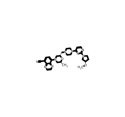 CO[C@H]1CCN(c2nccc(N3CCN(C[C@H]4CN(c5ccc(C#N)c6nccnc56)C[C@@H](C)O4)CC3)n2)C1